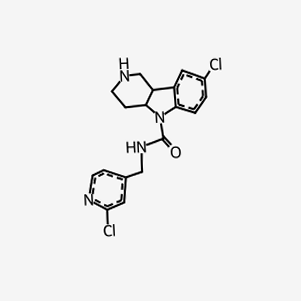 O=C(NCc1ccnc(Cl)c1)N1c2ccc(Cl)cc2C2CNCCC21